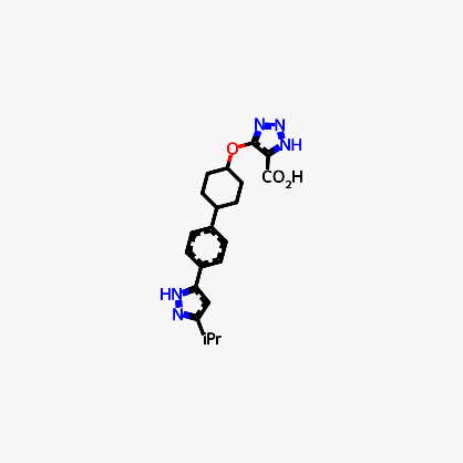 CC(C)c1cc(-c2ccc(C3CCC(Oc4nn[nH]c4C(=O)O)CC3)cc2)[nH]n1